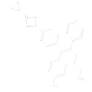 OCCC/C(C1=C=C=CC=C1)=C(\c1ccc(O)cc1)c1ccc(C2CN(C3CC3)C2)cc1